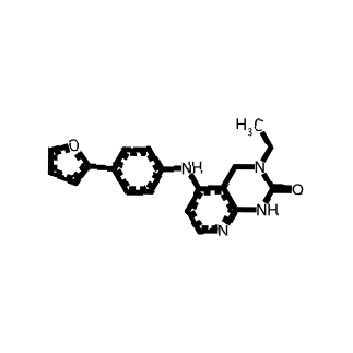 CCN1Cc2c(Nc3ccc(-c4ccco4)cc3)ccnc2NC1=O